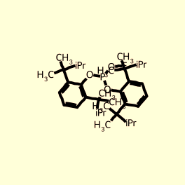 CC(C)C(C)(C)c1cccc(C(C)(C)C(C)C)c1OP(OF)Oc1c(C(C)(C)C(C)C)cccc1C(C)(C)C(C)C